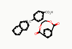 O=C(O)c1ccc(C(=O)O)cc1.O=C1OCCOC(=O)c2ccc1cc2.c1ccc2ccccc2c1